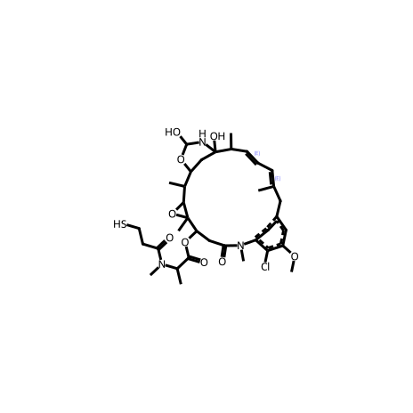 COc1cc2cc(c1Cl)N(C)C(=O)CC(OC(=O)C(C)N(C)C(=O)CCS)C1(C)OC1C(C)C1CC(O)(NC(O)O1)C(C)/C=C/C=C(\C)C2